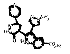 CCOC(=O)c1ccc2[nH]c(-c3cc(-c4ccncc4)n[nH]c3=O)c(-c3cnn(C)c3)c2c1